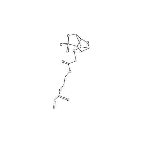 C=CC(=O)OCCOC(=O)COC1C2CC3C(O2)C1OS3(=O)=O